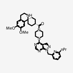 CCCc1cccc(Cn2ncc3c(N4CCN(C(=O)[C@H]5CC[C@@]6(CC5)NCCc5cc(OC)c(OC)cc56)CC4)ncnc32)n1